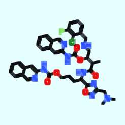 CC(C(=O)NC(CCCOC(=O)Nc1cc2ccccc2cn1)c1nc(CN(C)C)no1)C(CNCc1cccc(F)c1Cl)OC(=O)Nc1cc2ccccc2cn1